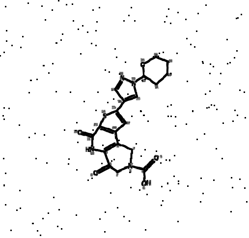 O=C1CN(C(=O)O)Cc2c1[nH]c(=O)c1sc(-c3cnn(C4CCCCO4)c3)cc21